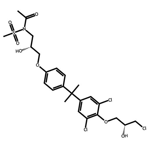 CC(=O)N(C[C@@H](O)COc1ccc(C(C)(C)c2cc(Cl)c(OC[C@@H](O)CCl)c(Cl)c2)cc1)S(C)(=O)=O